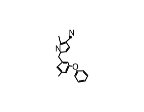 Cc1cc(Cc2ccc(C#N)c(C)n2)cc(Oc2ccccc2)c1